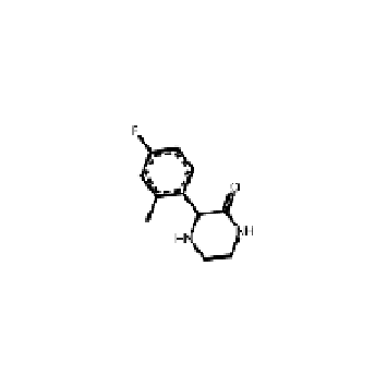 Cc1cc(F)ccc1C1NCCNC1=O